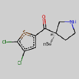 CCCC[C@@]1(C(=O)c2cc(Cl)c(Cl)s2)CCNC1